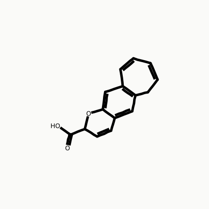 O=C(O)C1C=Cc2cc3c(cc2O1)C=CC=CC3